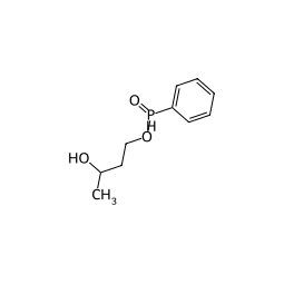 CC(O)CCO[PH](=O)c1ccccc1